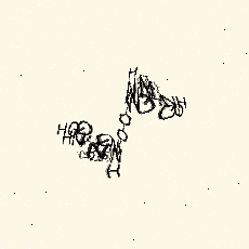 COC(=O)NC(C)(C)C(=O)N1[C@@H](C)CC[C@H]1c1nc(-c2ccc(-c3ccc(-c4c[nH]c([C@@H]5CC[C@H](C)N5C(=O)C(C)(C)NC(=O)O)n4)cc3)cc2)c[nH]1